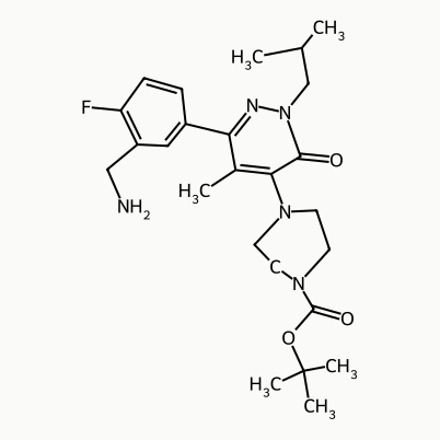 Cc1c(-c2ccc(F)c(CN)c2)nn(CC(C)C)c(=O)c1N1CCN(C(=O)OC(C)(C)C)CC1